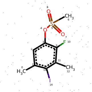 Cc1cc(OS(C)(=O)=O)c(F)c(C)c1I